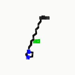 CCCCCCCCCCCCCCCCC=CCN1C=NCC1.Cl